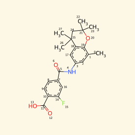 Cc1cc(NC(=O)c2ccc(C(=O)O)c(F)c2)cc2c1OC(C)(C)CC2(C)C